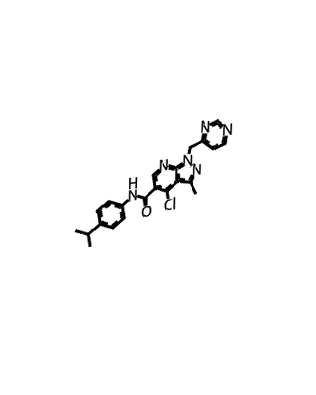 Cc1nn(Cc2ccncn2)c2ncc(C(=O)Nc3ccc(C(C)C)cc3)c(Cl)c12